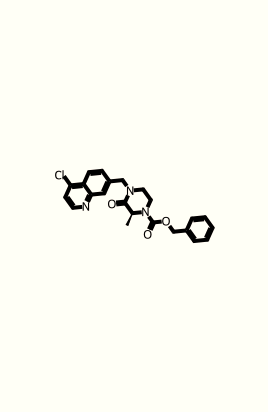 C[C@H]1C(=O)N(Cc2ccc3c(Cl)ccnc3c2)CCN1C(=O)OCc1ccccc1